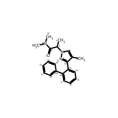 Cc1cn(C(C)C(=O)N(C)C)nc1-c1ccccc1-c1ccccc1